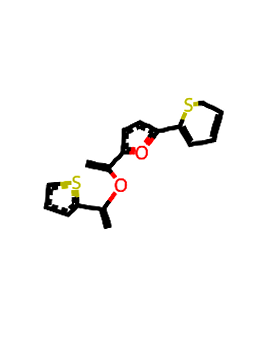 C=C(OC(=C)c1cccs1)c1ccc(C2=CC=CCS2)o1